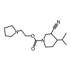 CC(C)C1CCN(C(=O)OCCN2CCCC2)CC1C#N